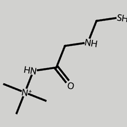 C[N+](C)(C)NC(=O)CNCS